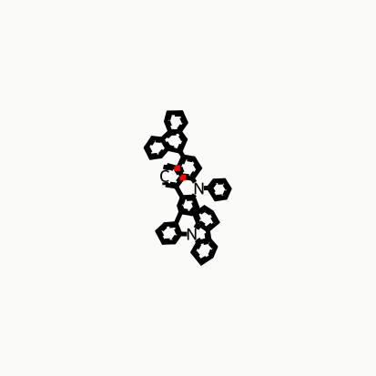 c1ccc(-c2cc(-c3ccccc3-n3c4ccccc4c4ccccc43)ccc2N(c2ccccc2)c2ccc(-c3cc4ccccc4c4ccccc34)cc2)cc1